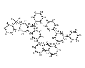 CC1(C)c2ccccc2-c2cc3c4cc(-c5cccc6c5sc5c(-c7cc(-c8ccccn8)nc(-c8ccccn8)c7)cccc56)ccc4n(-c4ccccc4)c3cc21